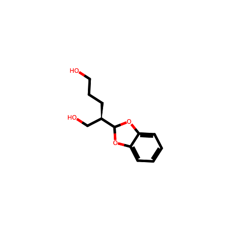 OCCC[C@H](CO)C1Oc2ccccc2O1